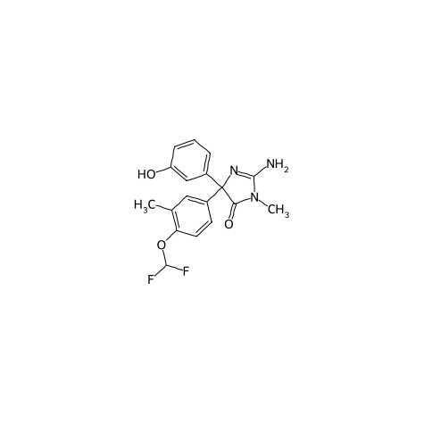 Cc1cc(C2(c3cccc(O)c3)N=C(N)N(C)C2=O)ccc1OC(F)F